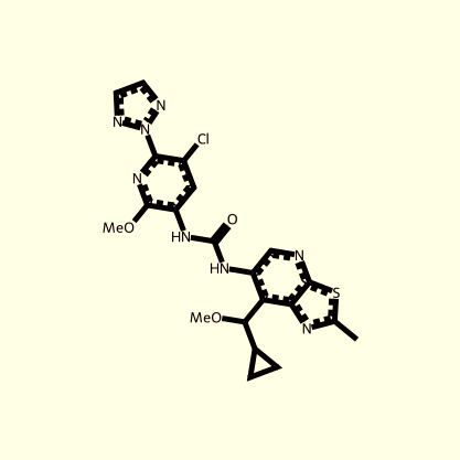 COc1nc(-n2nccn2)c(Cl)cc1NC(=O)Nc1cnc2sc(C)nc2c1C(OC)C1CC1